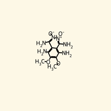 COc1c(OC)c(N)c2c(N)[n+]([O-])[n+]([O-])c(N)c2c1N